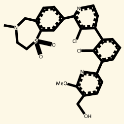 COc1nc(-c2cccc(-c3ccnc(-c4ccc5c(c4)S(=O)(=O)CCN(C)C5)c3Cl)c2Cl)ccc1CO